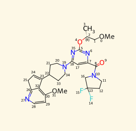 COC[C@@H](C)Oc1nc(C(=O)N2CCC(F)(F)C2)cc(N2CCC(C3=CCc4nccc(OC)c43)CC2)n1